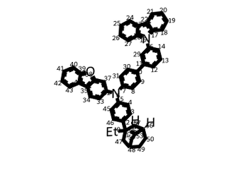 CCC1(c2ccc(N(c3ccc(-c4cccc(-n5c6ccccc6c6ccccc65)c4)cc3)c3ccc4c(c3)oc3ccccc34)cc2)CC2CC[C@H](C1)[C@H](C)C2